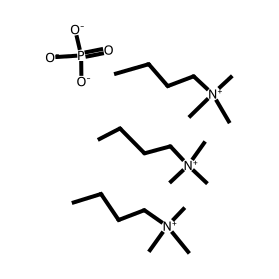 CCCC[N+](C)(C)C.CCCC[N+](C)(C)C.CCCC[N+](C)(C)C.O=P([O-])([O-])[O-]